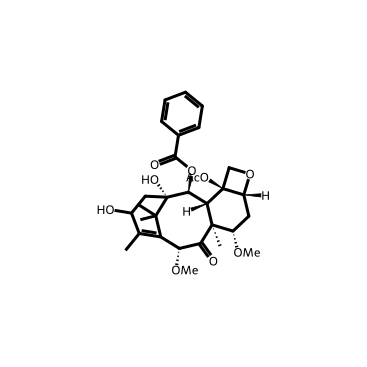 CO[C@H]1C(=O)[C@]2(C)[C@@H](OC)C[C@H]3OC[C@@]3(OC(C)=O)[C@H]2[C@H](OC(=O)c2ccccc2)[C@]2(O)CC(O)C(C)=C1C2(C)C